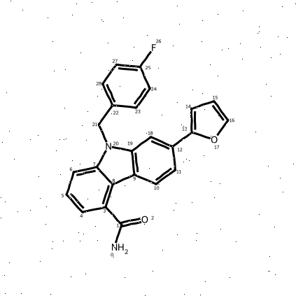 NC(=O)c1cccc2c1c1[c]cc(-c3ccco3)cc1n2Cc1ccc(F)cc1